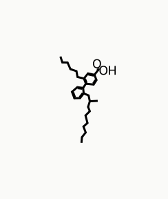 CCCCCCCCC(C)Cc1ccccc1-c1ccc(C(=O)O)cc1CCCCCC